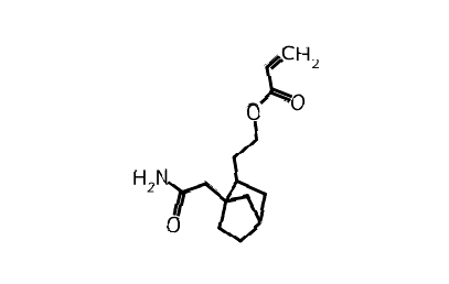 C=CC(=O)OCCC1CC2CCC1(CC(N)=O)C2